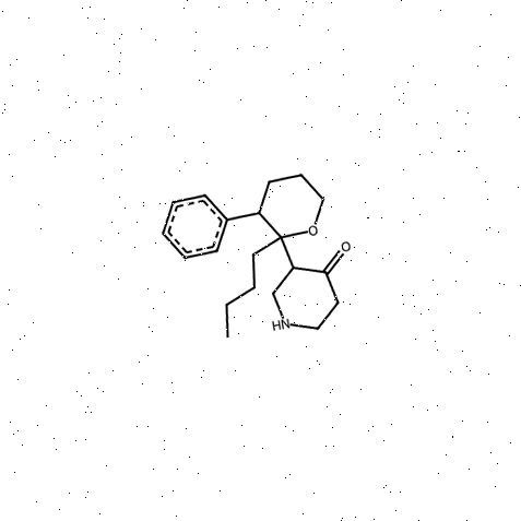 CCCCC1(C2CNCCC2=O)OCCCC1c1ccccc1